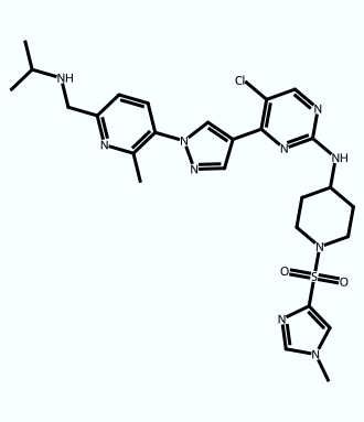 Cc1nc(CNC(C)C)ccc1-n1cc(-c2nc(NC3CCN(S(=O)(=O)c4cn(C)cn4)CC3)ncc2Cl)cn1